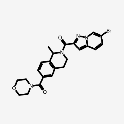 CC1c2ccc(C(=O)N3CCOCC3)cc2CCN1C(=O)c1cc2ccc(Br)cn2n1